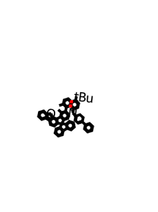 Cc1ccccc1-c1c(N(C2=CC=C(c3ccccc3)CC2)c2ccc(C(C)(C)C)cc2)cc2c(c1C)-c1c(ccc3c1oc1ccccc13)C21c2ccccc2-c2ccccc21